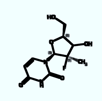 C[C@@]1(F)C(O)[C@H](CO)O[C@@H]1n1ccc(=O)[nH]c1=O